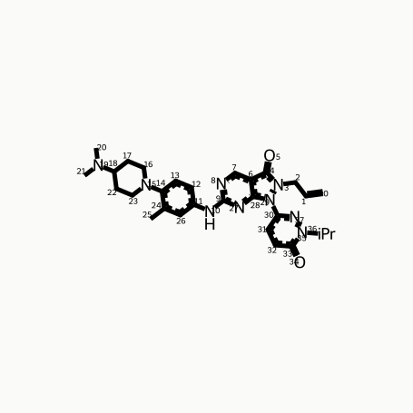 C=CCn1c(=O)c2cnc(Nc3ccc(N4CCC(N(C)C)CC4)c(C)c3)nc2n1-c1ccc(=O)n(C(C)C)n1